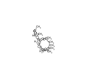 CCCn1ccc2cc(NC3CCC(C=C(C)C4OC(=O)C5CCCCN5C(=O)C(=O)C5(O)OC(C(OC)CC(C)C/C(C)=C/C(CC)C(=O)CC(O)C4C)C(OC)CC5C)CC3OC)ccc21